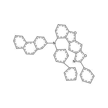 c1ccc(-c2ccc(N(c3ccc4c(ccc5ccccc54)c3)c3cccc4oc5cc6oc(-c7ccccc7)nc6cc5c34)cc2)cc1